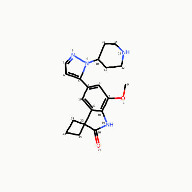 COc1cc(-c2ccnn2C2CCNCC2)cc2c1NC(=O)C21CCC1